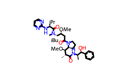 CC[C@H](C)[C@@H]([C@@H](CC(=O)N1CCC[C@H]1[C@H](OC)[C@@H](C)C(=O)N[C@H](C)[C@@H](O)c1ccccc1)OC)N(C)C(=O)[C@@H](Nc1ncccn1)C(C)C